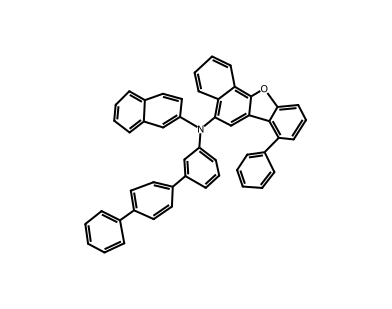 c1ccc(-c2ccc(-c3cccc(N(c4ccc5ccccc5c4)c4cc5c(oc6cccc(-c7ccccc7)c65)c5ccccc45)c3)cc2)cc1